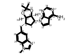 Cn1cnc2cc(C[C@H]3C[C@@H](n4ccc5c(N)ncnc54)[C@@H]4OC(C)(C)O[C@H]34)ccc21